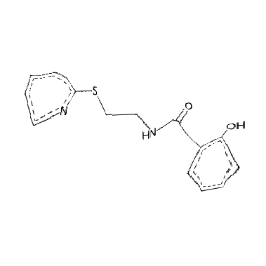 O=C(NCCSc1ccccn1)c1ccccc1O